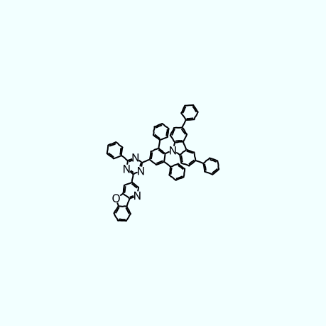 c1ccc(-c2ccc3c(c2)c2cc(-c4ccccc4)ccc2n3-c2c(-c3ccccc3)cc(-c3nc(-c4ccccc4)nc(-c4cnc5c(c4)oc4ccccc45)n3)cc2-c2ccccc2)cc1